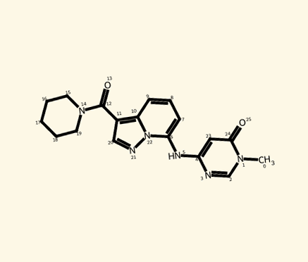 Cn1cnc(Nc2cccc3c(C(=O)N4CCCCC4)cnn23)cc1=O